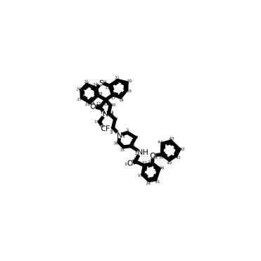 O=C(NC1CCN(CCCCC2(C(=O)NCC(F)(F)F)c3ccccc3Sc3ccccc32)CC1)c1ccccc1Oc1ccccc1